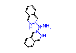 NN(N1C=c2ccccc2=CN1)N1C=c2ccccc2=CN1